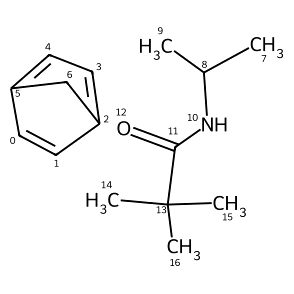 C1=CC2=CC=C1C2.CC(C)NC(=O)C(C)(C)C